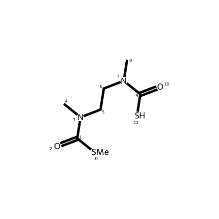 CSC(=O)N(C)CCN(C)C(=O)S